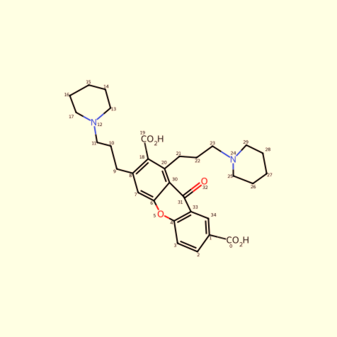 O=C(O)c1ccc2oc3cc(CCCN4CCCCC4)c(C(=O)O)c(CCCN4CCCCC4)c3c(=O)c2c1